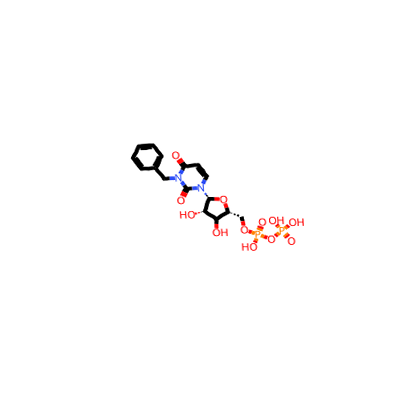 O=c1ccn([C@@H]2O[C@H](COP(=O)(O)OP(=O)(O)O)C(O)[C@@H]2O)c(=O)n1Cc1ccccc1